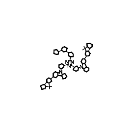 CC1(C)c2ccccc2-c2ccc(-c3ccc4c(c3)c3ccccc3n4-c3cccc(-c4nc(-c5cccc(-c6cccc(-c7ccccc7)c6)c5)nc(-c5cccc(-n6c7ccccc7c7cc(-c8ccc9c(c8)C(C)(C)c8ccccc8-9)ccc76)c5)n4)c3)cc21